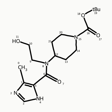 Cc1nc[nH]c1C(=O)N(CCO)C1CCN(C(=O)OC(C)(C)C)CC1